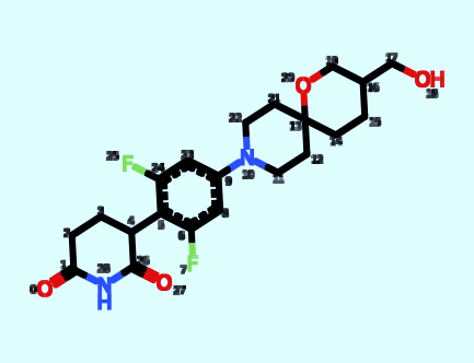 O=C1CCC(c2c(F)cc(N3CCC4(CCC(CO)CO4)CC3)cc2F)C(=O)N1